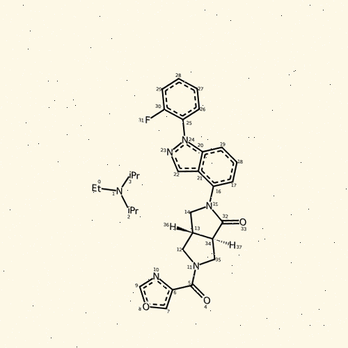 CCN(C(C)C)C(C)C.O=C(c1cocn1)N1C[C@@H]2CN(c3cccc4c3cnn4-c3ccccc3F)C(=O)[C@H]2C1